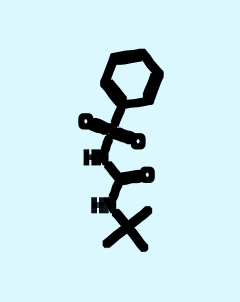 CC(C)(C)NC(=O)NS(=O)(=O)c1ccccc1